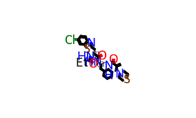 C=C(CN1CCSCC1)C(=O)NC[C@H](CC1CCCCC1)NC(=O)[C@H](Cc1nc2ccc(Cl)cc2s1)NC(=O)CC